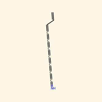 C=CC=C=C=C=C=C=C=C=N